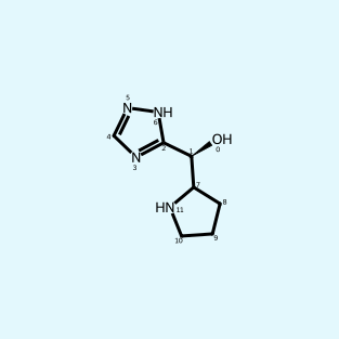 O[C@H](c1ncn[nH]1)C1CCCN1